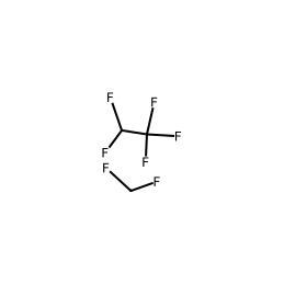 FC(F)C(F)(F)F.FCF